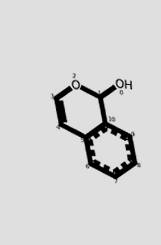 OC1OC=Cc2ccccc21